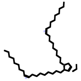 CCC.CCCCCCCC/C=C\CCCCCCCCC1C=CCN1CCCCCCCC/C=C\CCCCCCCC